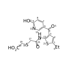 CCc1cc(C(=O)c2ccc(O)nc2)c(NC(=O)CSCC(=O)O)s1